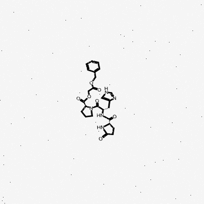 O=C1CC[C@@H](C(=O)N[C@@H](Cc2c[nH]cn2)C(=O)N2CCC[C@H]2C(=O)OCC(=O)OCc2ccccc2)N1